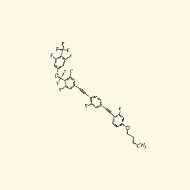 CCCCOc1ccc(C#Cc2ccc(C#Cc3cc(F)c(C(F)(F)Oc4cc(F)c(C(F)(F)F)c(F)c4)c(F)c3)c(F)c2)c(F)c1